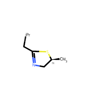 CC(C)CC1=NC[C@H](C)S1